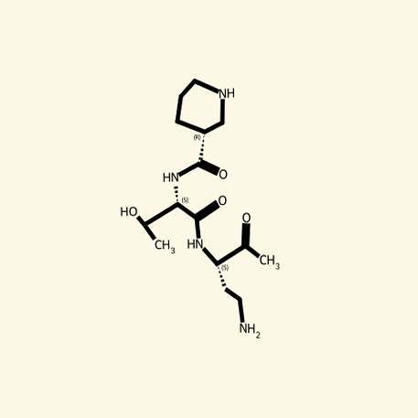 CC(=O)[C@H](CCN)NC(=O)[C@@H](NC(=O)[C@@H]1CCCNC1)C(C)O